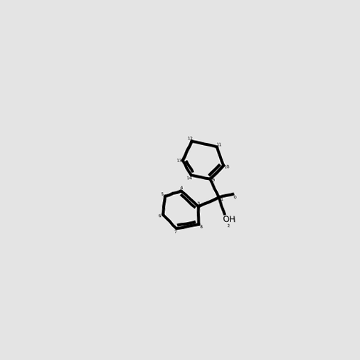 CC(O)(C1=CCCC=C1)C1=CCCC=C1